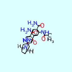 CC(=O)Nc1cc(C(=O)N[C@H]2C[C@H]3CC[C@@H](C2)N3c2ccc(C(N)=O)cn2)ccc1C(N)=O